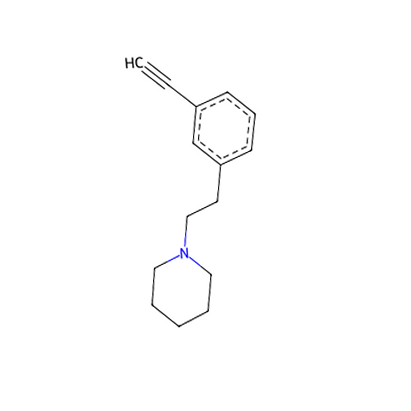 C#Cc1cccc(CCN2CCCCC2)c1